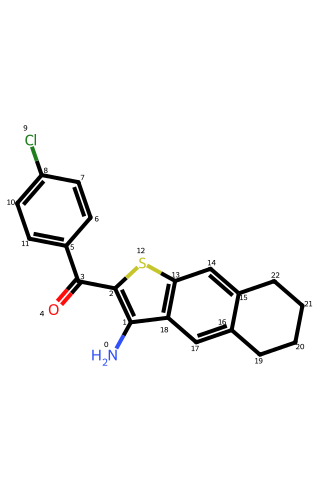 Nc1c(C(=O)c2ccc(Cl)cc2)sc2cc3c(cc12)CCCC3